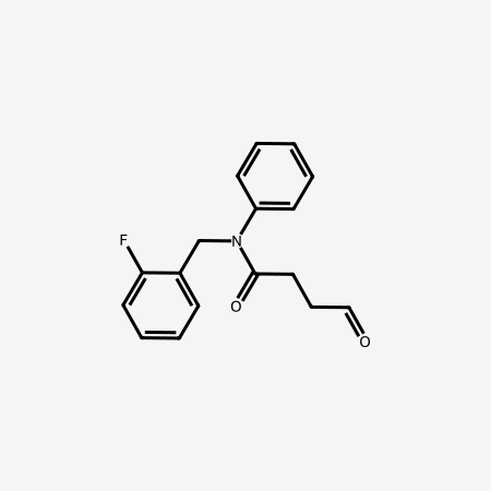 O=CCCC(=O)N(Cc1ccccc1F)c1ccccc1